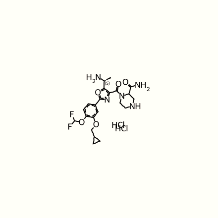 C[C@H](N)c1oc(-c2ccc(OC(F)F)c(OCC3CC3)c2)nc1C(=O)N1CCNCC1C(N)=O.Cl.Cl